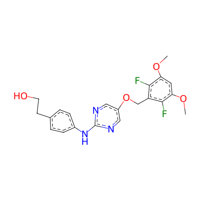 COc1cc(OC)c(F)c(COc2cnc(Nc3ccc(CCO)cc3)nc2)c1F